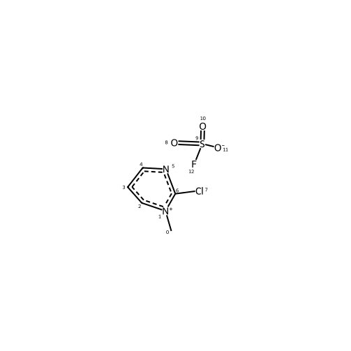 C[n+]1cccnc1Cl.O=S(=O)([O-])F